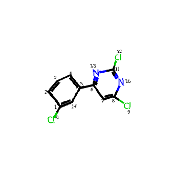 Clc1cccc(-c2cc(Cl)nc(Cl)n2)c1